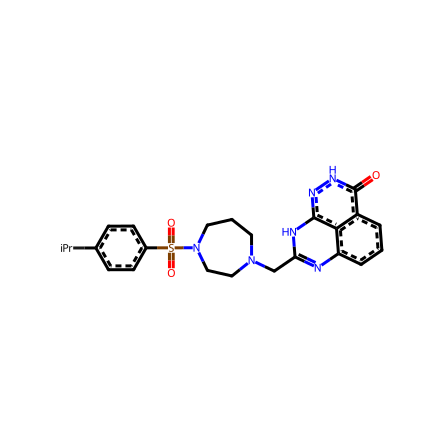 CC(C)c1ccc(S(=O)(=O)N2CCCN(CC3=Nc4cccc5c(=O)[nH]nc(c45)N3)CC2)cc1